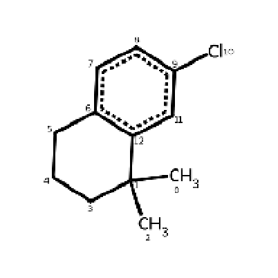 CC1(C)CCCc2ccc(Cl)cc21